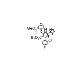 CCOC(=O)C1=C(CN2CCOC[C@H]2C(=O)OC)NC(c2nccs2)=NC1c1ccc(F)cc1Cl